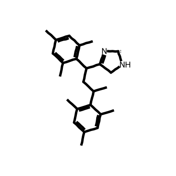 Cc1cc(C)c(C(C)CC(C2=N[C]NC2)c2c(C)cc(C)cc2C)c(C)c1